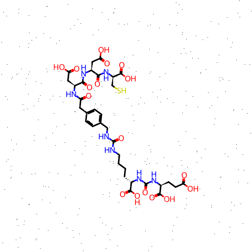 O=C(O)CC[C@H](NC(=O)N[C@@H](CCCCNC(=O)NCc1ccc(CC(=O)N[C@@H](CC(=O)O)C(=O)N[C@@H](CC(=O)O)C(=O)N[C@H](CS)C(=O)O)cc1)C(=O)O)C(=O)O